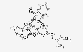 CC[C@H](C)COc1ccc([C@H](CN2C(=O)c3ccccc3C2=O)N(C(=O)O)C(C)(C)C)cc1